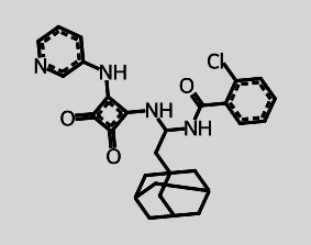 O=C(NC(CC12CC3CC(CC(C3)C1)C2)Nc1c(Nc2cccnc2)c(=O)c1=O)c1ccccc1Cl